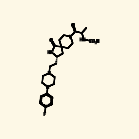 CC(NC(=O)O)C(=O)N1CCC2(CC1)C[C@H](CCN1CCN(c3ccc(F)cc3)CC1)NC2=O